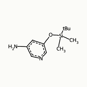 CC(C)(C)[Si](C)(C)Oc1cncc(N)c1